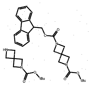 CC(C)(C)OC(=O)N1CC2(CN(C(=O)OCC3c4ccccc4-c4ccccc43)C2)C1.CC(C)(C)OC(=O)N1CC2(CNC2)C1